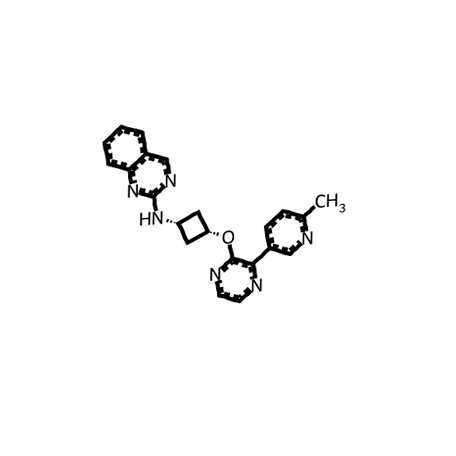 Cc1ccc(-c2nccnc2O[C@H]2C[C@@H](Nc3ncc4ccccc4n3)C2)cn1